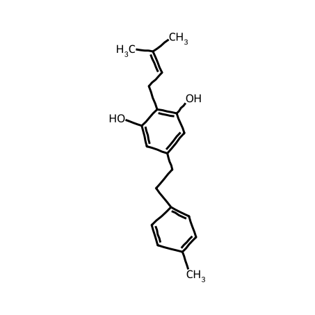 CC(C)=CCc1c(O)cc(CCc2ccc(C)cc2)cc1O